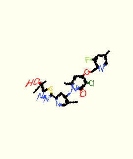 Cc1cnc(COc2cc(C)n(-c3cc(-c4nnc(C(C)(C)O)s4)ncc3C)c(=O)c2Cl)c(F)c1